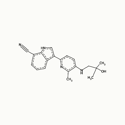 Cc1nc(-c2c[nH]c3c(C#N)cccc23)ccc1NCC(C)(C)O